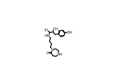 CCC(NCCCCN1CCNCCC1=O)C(C)Cc1ccc(O)cc1